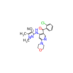 Cc1c([N+](=O)[O-])c(Nc2cc(N3CCOCC3)ncc2C(=O)c2ccccc2Cl)nn1C